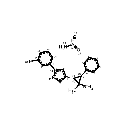 CC1(C)[C@H](c2ccccc2)[C@H]1c1cnn(-c2cccc(F)c2)c1.N[SH](=O)=O